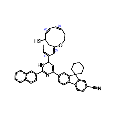 N#Cc1ccc2c(c1)C1(CCCCC1)c1cc(C3=CC(C(/C=C4\CC(S)/C=C\C=C/CCO4)=C/I)NC(c4ccc5ccccc5c4)=N3)ccc1-2